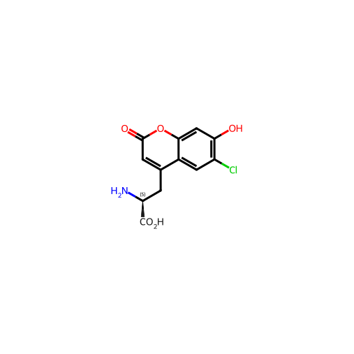 N[C@@H](Cc1cc(=O)oc2cc(O)c(Cl)cc12)C(=O)O